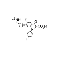 CCNCC1CCN(c2cc3c(cc2F)c(=O)c(C(=O)O)cn3-c2ccc(F)cc2)C1